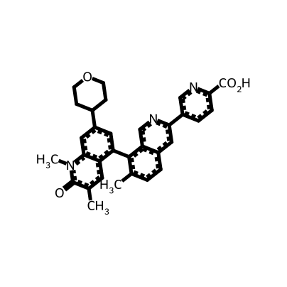 Cc1ccc2cc(-c3ccc(C(=O)O)nc3)ncc2c1-c1cc(C2CCOCC2)cc2c1cc(C)c(=O)n2C